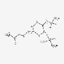 CC(C)(N)C(=O)O.CC(C)(NC1CCCCC1)C(=O)O.CC(CCN)C(=O)O